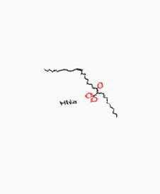 CCCCCCCC/C=C\CCCCCCCC(=O)C(CCCCCCCCCC)C(=O)OC.[NaH]